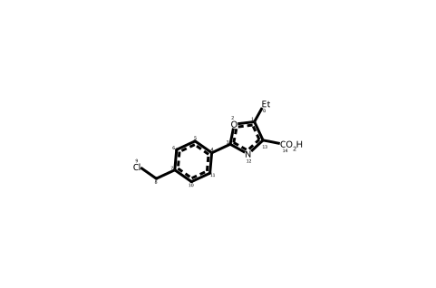 CCc1oc(-c2ccc(CCl)cc2)nc1C(=O)O